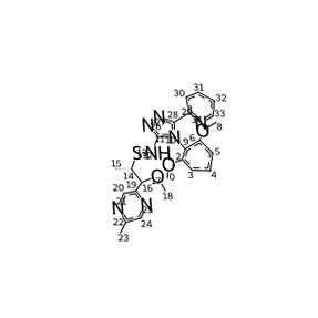 COc1cccc(OC)c1-n1c(NS[C@@H](C)C(OC)c2cnc(C)cn2)nnc1-c1ccccn1